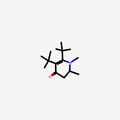 CC1CC(=O)C(C(C)(C)C)=C(C(C)(C)C)N1C